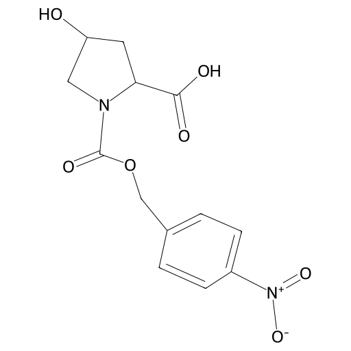 O=C(O)C1CC(O)CN1C(=O)OCc1ccc([N+](=O)[O-])cc1